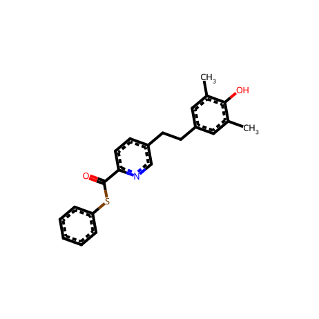 Cc1cc(CCc2ccc(C(=O)Sc3ccccc3)nc2)cc(C)c1O